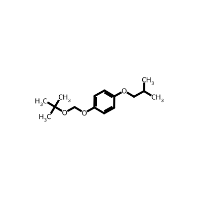 CC(C)COc1ccc(OCOC(C)(C)C)cc1